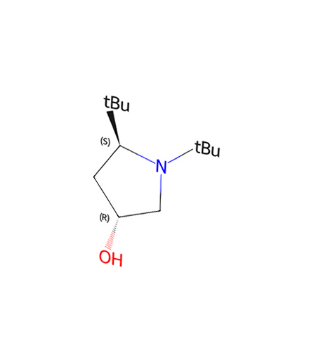 CC(C)(C)[C@@H]1C[C@@H](O)CN1C(C)(C)C